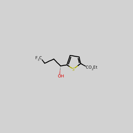 CCOC(=O)c1ccc([C@H](O)CCC(F)(F)F)s1